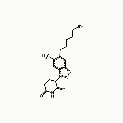 Cc1cc2c(cc1CCCCCC(C)C)nnn2C1CCC(=O)NC1=O